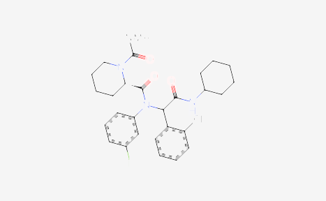 CNC(=O)N1CCCC[C@@H]1C(=O)N(c1cccc(F)c1)C(C(=O)NC1CCCCC1)c1ccccc1C